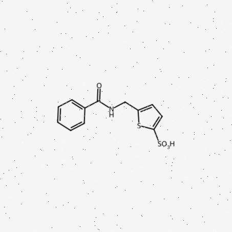 O=C(NCc1ccc(S(=O)(=O)O)s1)c1ccccc1